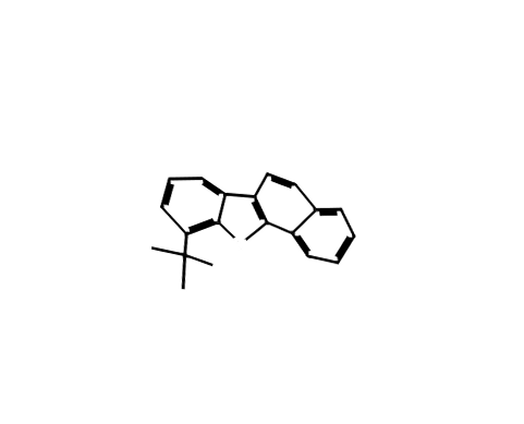 CC(C)(C)c1cccc2c1sc1c3ccccc3ccc21